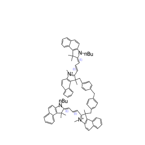 CCCCN1/C(=C/C=C/C2=[N+](C)c3ccc4ccccc4c3C2(C)Cc2ccc(Cc3ccc(CC4(C)C(/C=C/C=C5/N(CCCC)c6ccc7ccccc7c6C5(C)C)=[N+](C)c5ccc6ccccc6c54)cc3)cc2)C(C)(C)c2c1ccc1ccccc21